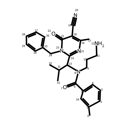 Cc1cccc(C(=O)N(CCCN)C(c2nc(C)c(C#N)c(=O)n2Cc2ccccc2)C(C)C)c1